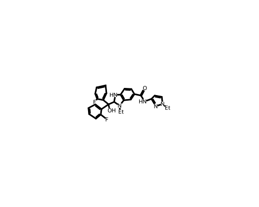 CCN1c2cc(C(=O)Nc3ccn(CC)n3)ccc2NC1C(O)(c1ccccc1F)c1ccccc1F